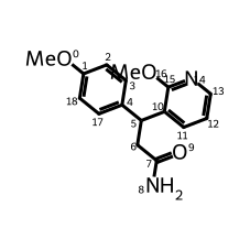 COc1ccc(C(CC(N)=O)c2cccnc2OC)cc1